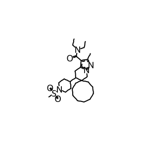 CCN(CC)C(=O)c1c(C)nn2c1CC(C1CCN(S(C)(=O)=O)CC1)C1(CCCCCCCCC1)C2